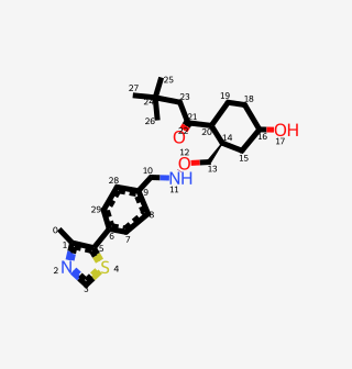 Cc1ncsc1-c1ccc(CNOC[C@@H]2CC(O)CCC2C(=O)CC(C)(C)C)cc1